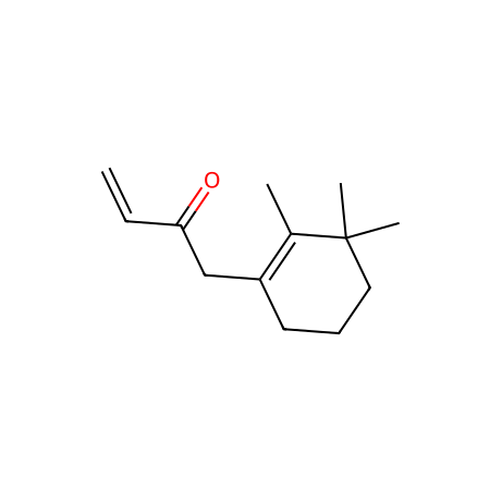 C=CC(=O)CC1=C(C)C(C)(C)CCC1